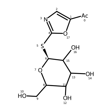 CC(=O)c1cnc(S[C@@H]2OC(CO)C(O)C(O)C2O)o1